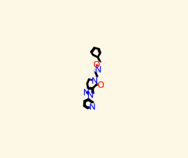 O=C1c2cn(-c3cccnc3)nc2CCN1C/C=N/OCC1C=CC=CC1